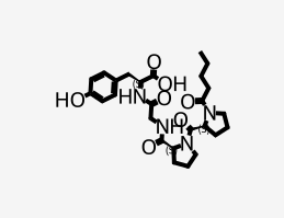 CCCCC(=O)N1CCC[C@H]1C(=O)N1CCC[C@H]1C(=O)NCC(=O)N[C@@H](Cc1ccc(O)cc1)C(=O)O